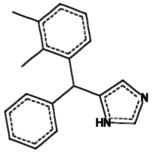 Cc1cccc(C(c2ccccc2)c2cnc[nH]2)c1C